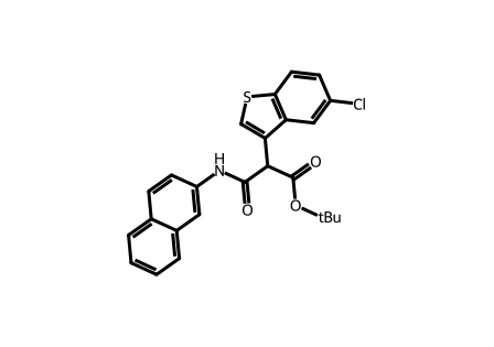 CC(C)(C)OC(=O)C(C(=O)Nc1ccc2ccccc2c1)c1csc2ccc(Cl)cc12